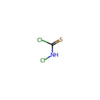 S=C(Cl)NCl